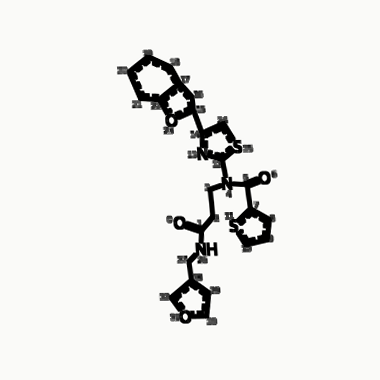 O=C(CCN(C(=O)c1cccs1)c1nc(-c2cc3ccccc3o2)cs1)NCc1ccoc1